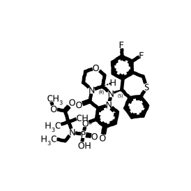 CCN(C(C)(C)C(=O)OC)P(=O)(O)Oc1c2n(ccc1=O)N([C@@H]1c3ccccc3SCc3c1ccc(F)c3F)[C@@H]1COCCN1C2=O